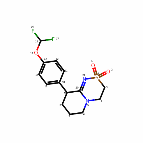 O=S1(=O)CCN2CCCC(c3ccc(OC(F)F)cc3)C2=N1